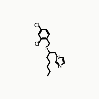 CCCCCC(Cn1ccnc1)SCc1ccc(Cl)cc1Cl